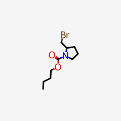 CCCCOC(=O)N1CCCC1CBr